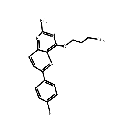 CCCCOc1nc(N)nc2ccc(-c3ccc(F)cc3)nc12